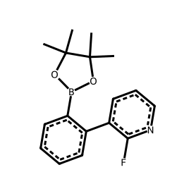 CC1(C)OB(c2ccccc2-c2cccnc2F)OC1(C)C